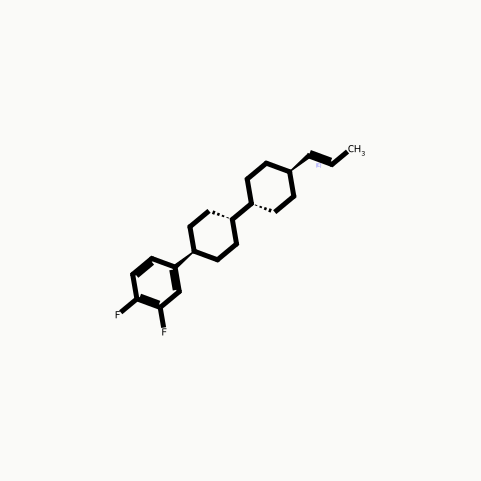 C/C=C/[C@H]1CC[C@H]([C@H]2CC[C@H](c3ccc(F)c(F)c3)CC2)CC1